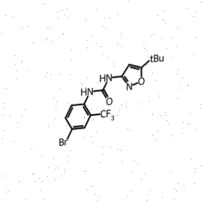 CC(C)(C)c1cc(NC(=O)Nc2ccc(Br)cc2C(F)(F)F)no1